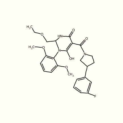 CCOCC1NC(=O)C(C(=O)N2CCC(c3cccc(F)c3)C2)=C(O)N1c1c(OC)cccc1OC